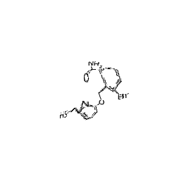 NC(=O)c1cccc(Br)c1COc1ccn(S)n1